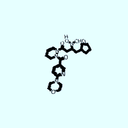 O=CN(O)C(CC(=O)N1C=CCCN1C(=O)c1ccc(N2CCOCC2)nc1)CC1CCCC1